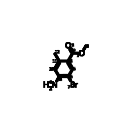 COC(=O)c1cc(Br)c(N)cc1C